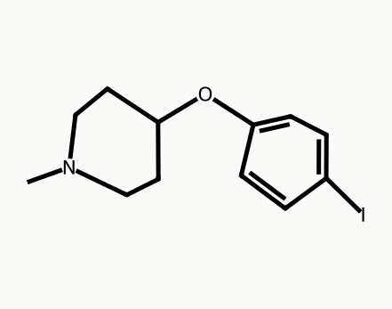 CN1CCC(Oc2ccc(I)cc2)CC1